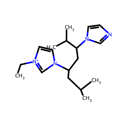 CC[n+]1ccn(C(CC(C)C)CC(C(C)C)n2ccnc2)c1